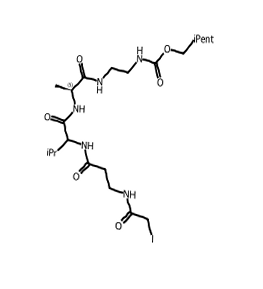 CCCC(C)COC(=O)NCCNC(=O)[C@H](C)NC(=O)C(NC(=O)CCNC(=O)CI)C(C)C